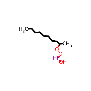 CCCCCCCCC(C)OOPO